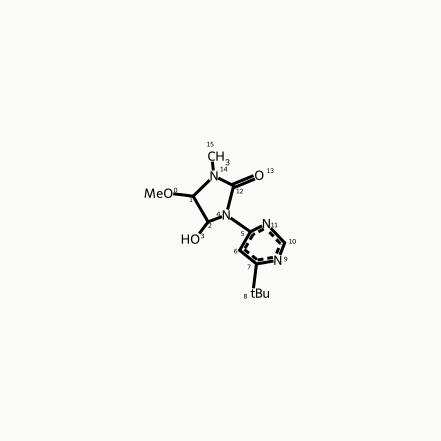 COC1C(O)N(c2cc(C(C)(C)C)ncn2)C(=O)N1C